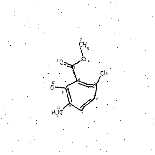 COC(=O)c1c(Cl)ccc(N)c1Cl